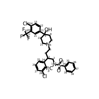 CN(CC(CCN1CCC(O)(c2ccc(Cl)c(C(F)(F)F)c2)CC1)c1cccc(Cl)c1)S(=O)(=O)c1ccccc1